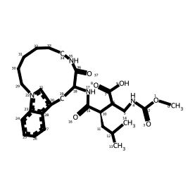 COC(=O)NCC(C(=O)O)[C@@H](CC(C)C)C(=O)NC1Cc2cn(c3ccccc23)CCCCCCNC1=O